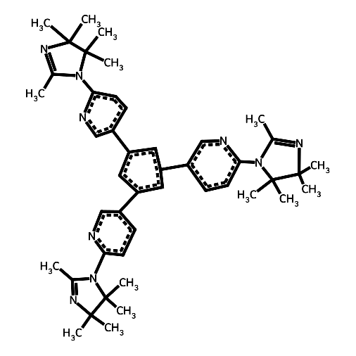 CC1=NC(C)(C)C(C)(C)N1c1ccc(-c2cc(-c3ccc(N4C(C)=NC(C)(C)C4(C)C)nc3)cc(-c3ccc(N4C(C)=NC(C)(C)C4(C)C)nc3)c2)cn1